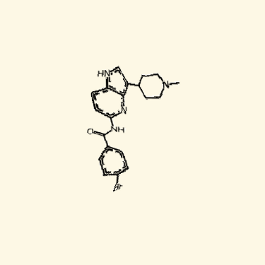 CN1CCC(c2c[nH]c3ccc(NC(=O)c4ccc(Br)cc4)nc23)CC1